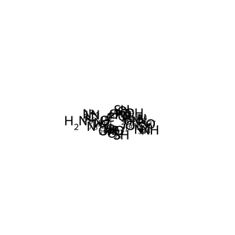 Nc1ncnc2c1ncn2C1OC2COP(=O)(S)O[C@@H]3C(COP(=O)(S)O[C@H]2[C@H]1O)OC(n1cnc2c(=O)[nH]cnc21)[C@@H]3O